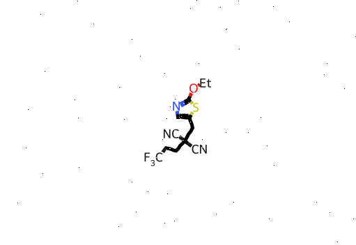 CCOc1ncc(CC(C#N)(C#N)CCC(F)(F)F)s1